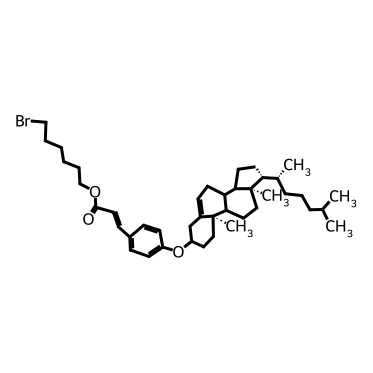 CC(C)CCC[C@@H](C)[C@H]1CCC2C3CC=C4CC(Oc5ccc(C=CC(=O)OCCCCCCBr)cc5)CC[C@]4(C)C3CC[C@@]21C